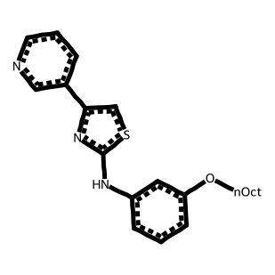 CCCCCCCCOc1cccc(Nc2nc(-c3cccnc3)cs2)c1